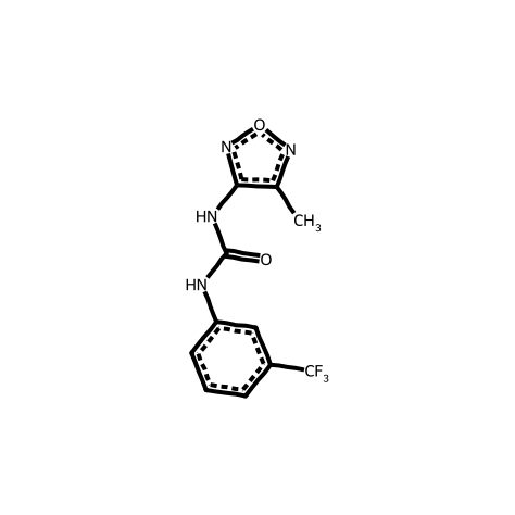 Cc1nonc1NC(=O)Nc1cccc(C(F)(F)F)c1